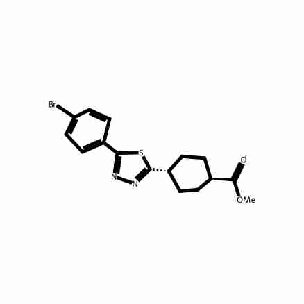 COC(=O)[C@H]1CC[C@H](c2nnc(-c3ccc(Br)cc3)s2)CC1